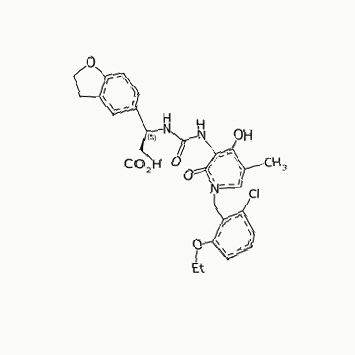 CCOc1cccc(Cl)c1Cn1cc(C)c(O)c(NC(=O)N[C@@H](CC(=O)O)c2ccc3c(c2)CCO3)c1=O